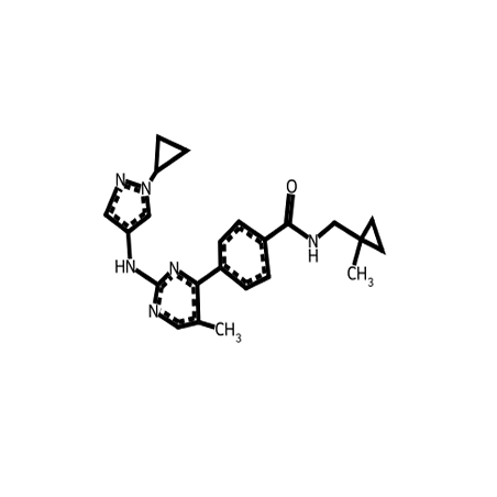 Cc1cnc(Nc2cnn(C3CC3)c2)nc1-c1ccc(C(=O)NCC2(C)CC2)cc1